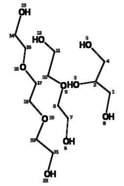 OCC(O)CO.OCCOCCO.OCCOCCOCCO